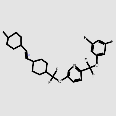 CC1CCC(/C=C/C2CCC(C(F)(F)Oc3ccc(C(F)(F)Oc4cc(F)cc(F)c4)nc3)CC2)CC1